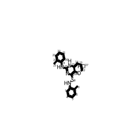 Cc1ccccc1NSC1=C2OC=CC=C2NC(Nc2ccccc2C)=N1.Cl